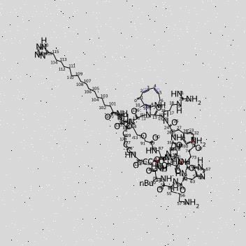 C=C1/C=C\C=C/CN/C=C\1C[C@@H]1NC(=O)[C@H](CCCNC(=N)N)NC(=O)[C@@H](Cc2ccccc2)NC(=O)[C@@H]2C[C@@H](O)CN2C(=O)[C@@H](NC(=O)[C@H](CCCC)NC(=O)[C@H](CCCN)NC(=O)[C@H](Cc2c[nH]cn2)NC(=O)[C@H](CCC(N)=O)NC(=O)[C@H](CO)NC(=O)CNC(=O)COCCOCCNC(=O)CCCCCCCCCCCCCCCc2nnn[nH]2)CCC(=O)NCCCC[C@@H](C(N)=O)NC1=O